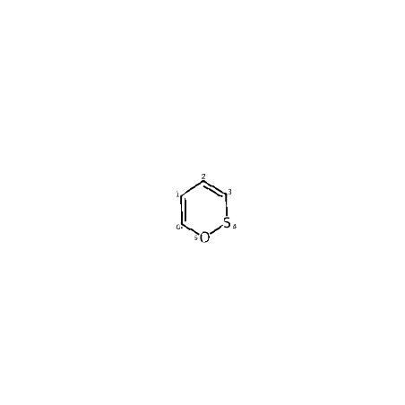 [C]1=CC=CSO1